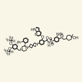 [2H]C([2H])([2H])Oc1ccc(CN2CCN(C3CC4(C3)CN(c3ccc(C(=O)NS(=O)(=O)c5ccc(NCC6CCC(C)(O)CC6)c([N+](=O)[O-])c5)c(Oc5cnc6[nH]ccc6c5)c3)C4)[C@H](c3ccccc3C(C)C)C2)cc1OC([2H])([2H])[2H]